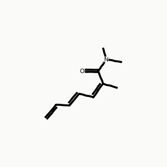 C=CC=CC=C(C)C(=O)N(C)C